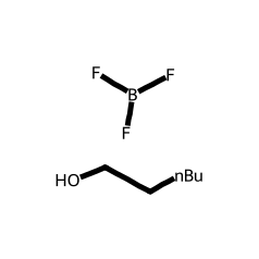 CCCCCCO.FB(F)F